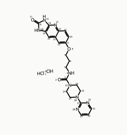 Cl.Cl.O=C(NCCCOc1ccc2nc3[nH]c(=O)[nH]c3cc2c1)N1CCN(c2ncccn2)CC1